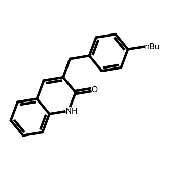 CCCCc1ccc(Cc2cc3ccccc3[nH]c2=O)cc1